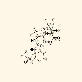 CC(C)(C)[C@H](NC(=O)NC1(C2CCS2(=O)=O)CCCCC1)C(=O)N1C[C@H]2[C@@H]([C@H]1C(=O)O)C2(C)C